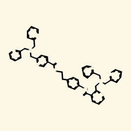 O=C(NCCc1ccc(NC(=O)c2cccnc2CN(Cc2ccccn2)Cc2ccccn2)cc1)c1ccc(CN(Cc2ccccn2)Cc2ccccn2)nc1